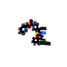 COc1ccccc1C(C)CC(=O)Nc1sc2c(c1C#N)CCN(C(=O)OCc1ccccn1)C2